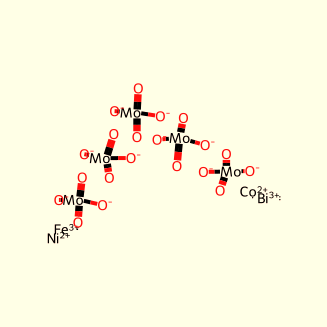 [Bi+3].[Co+2].[Fe+3].[Ni+2].[O]=[Mo](=[O])([O-])[O-].[O]=[Mo](=[O])([O-])[O-].[O]=[Mo](=[O])([O-])[O-].[O]=[Mo](=[O])([O-])[O-].[O]=[Mo](=[O])([O-])[O-]